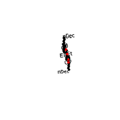 CCCCCCCCCCCCCCCC(=O)Oc1ccc(/C(CC)=C(\CC)c2ccc(OC(=O)CCCCCCCCCCCCCCC)cc2)cc1